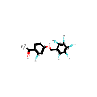 O=C(c1ccc(OCc2c(F)c(F)c(F)c(F)c2F)cc1F)C(F)(F)F